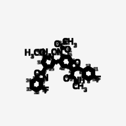 CNC(=O)c1c(-c2ccc(F)cc2)oc2cc(N(C)S(C)(=O)=O)c(-c3cc(-c4nc5c(F)cccc5o4)cc(OC)n3)cc12